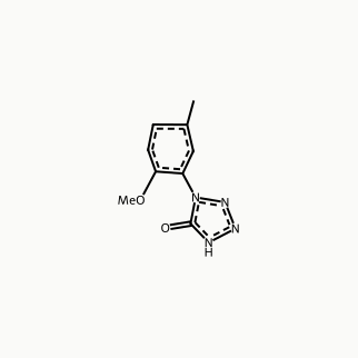 COc1ccc(C)cc1-n1nn[nH]c1=O